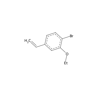 C=Cc1ccc(Br)c(OCC)c1